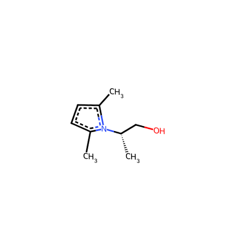 Cc1ccc(C)n1[C@@H](C)CO